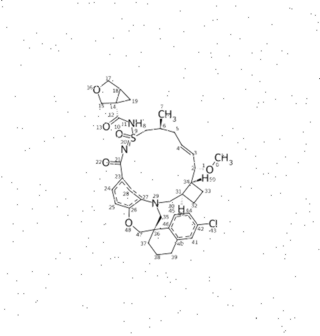 CO[C@H]1/C=C/C[C@H](C)CS(=O)(NC(=O)[C@]23COCC2C3)=NC(=O)c2ccc3c(c2)N(C[C@@H]2CC[C@H]21)C[C@@]1(CCCc2cc(Cl)ccc21)CO3